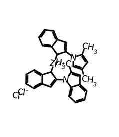 Cc1cc(C)n(C2=Cc3ccccc3[CH]2[Zr+2][CH]2C(n3c(C)cc4ccccc43)=Cc3ccccc32)c1.[Cl-].[Cl-]